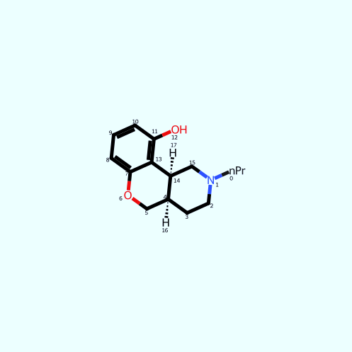 CCCN1CC[C@H]2COc3cccc(O)c3[C@H]2C1